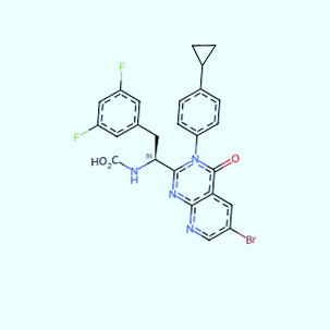 O=C(O)N[C@@H](Cc1cc(F)cc(F)c1)c1nc2ncc(Br)cc2c(=O)n1-c1ccc(C2CC2)cc1